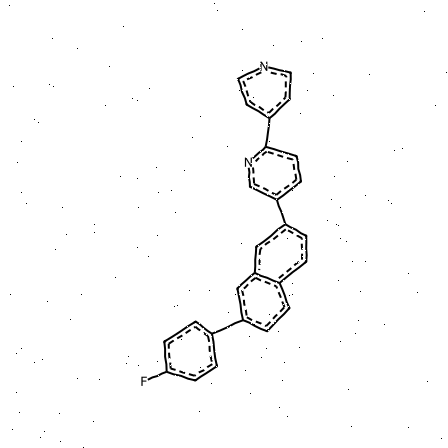 Fc1ccc(-c2ccc3ccc(-c4ccc(-c5ccncc5)nc4)cc3c2)cc1